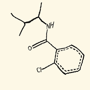 CC(C)C(C)NC(=O)c1ccccc1Cl